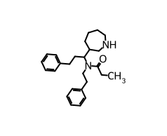 CCC(=O)N(CCc1ccccc1)C(CCc1ccccc1)C1CCCCNC1